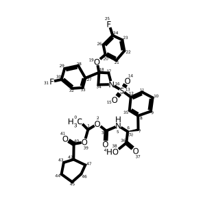 CC(OC(=O)N[C@@H](Cc1cccc(S(=O)(=O)N2CC(Oc3cccc(F)c3)(c3ccc(F)cc3)C2)c1)C(=O)O)OC(=O)C1CCCCC1